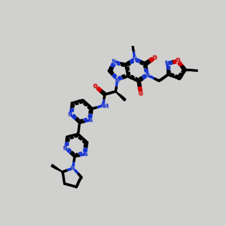 Cc1cc(Cn2c(=O)c3c(ncn3[C@@H](C)C(=O)Nc3ccnc(-c4cnc(N5CCC[C@H]5C)nc4)n3)n(C)c2=O)no1